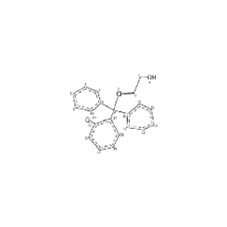 OCCOC(c1ccccc1)(c1ccccc1)c1ccccc1Cl